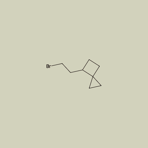 BrCCC1CCC12CC2